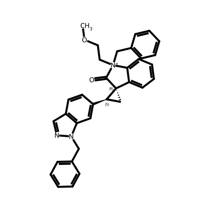 COCC[N+]1(Cc2ccccc2)C(=O)[C@@]2(C[C@H]2c2ccc3cnn(Cc4ccccc4)c3c2)c2ccccc21